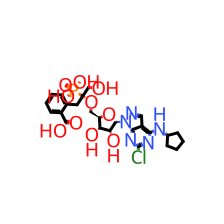 O=C(O)c1ccccc1CC(CO)(OC[C@H]1O[C@@H](n2ncc3c(NC4CCCC4)nc(Cl)nc32)[C@H](O)[C@@H]1O)P(=O)(O)O